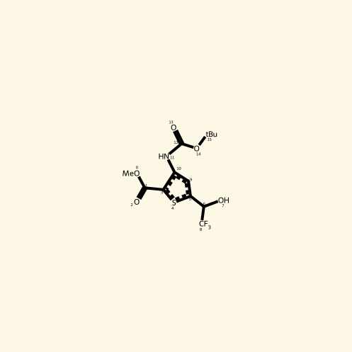 COC(=O)c1sc(C(O)C(F)(F)F)cc1NC(=O)OC(C)(C)C